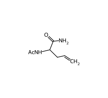 C=CCC(NC(C)=O)C(N)=O